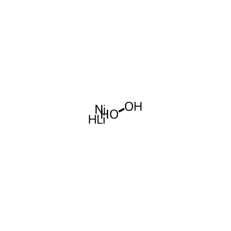 OO.[LiH].[Ni]